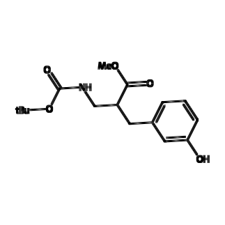 COC(=O)C(CNC(=O)OC(C)(C)C)Cc1cccc(O)c1